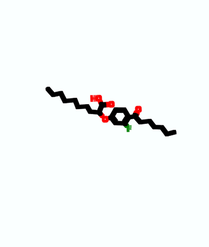 CCCCCCCCC(Oc1ccc(C(=O)CCCCCC)c(F)c1)C(=O)O